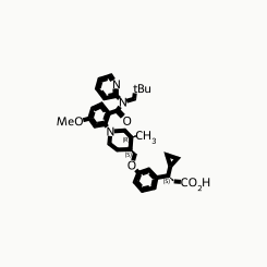 COc1ccc(C(=O)N(CC(C)(C)C)c2ccccn2)c(N2CC[C@H](COc3cccc([C@@H](CC(=O)O)C4CC4)c3)[C@@H](C)C2)c1